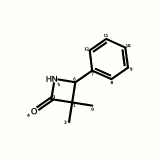 CC1(C)C(=O)NC1c1ccccc1